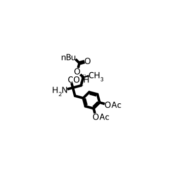 CCCCC(=O)O[C@@H](C)CC(N)(Cc1ccc(OC(C)=O)c(OC(C)=O)c1)C(=O)O